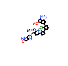 COc1nc(-c2cccc(-c3cccc(-c4ccc5c(c4)C(O)CC5N)c3Cl)c2Cl)ccc1CNCC1CCC(=O)N1